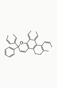 C/C=C\C1=C(C)CCc2c3c(c(=C/C)/c(=C\C)c21)OC(C(/C=C\C)=C/C)(c1ccccc1)C=C3